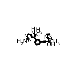 Cc1[nH]c2cnc(N)nc2c1-c1cccc(C#CC(C)(O)c2nccs2)c1